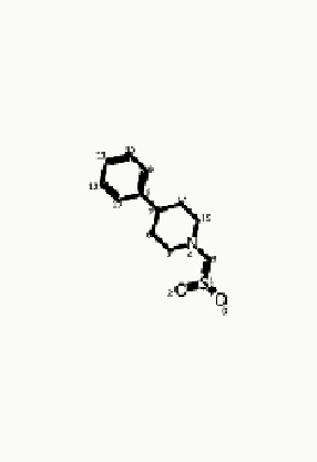 O=S(=O)=CN1CCC(c2ccccc2)CC1